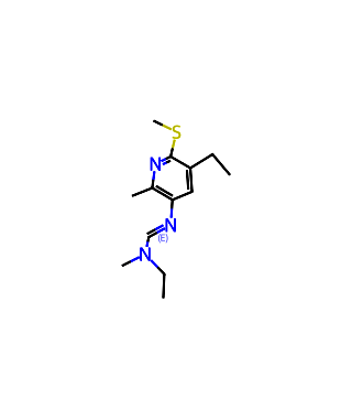 CCc1cc(/N=C/N(C)CC)c(C)nc1SC